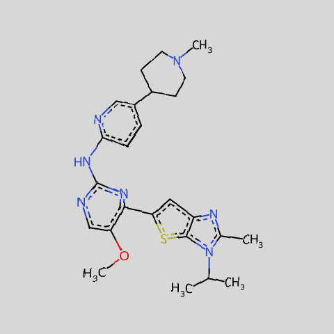 COc1cnc(Nc2ccc(C3CCN(C)CC3)cn2)nc1-c1cc2nc(C)n(C(C)C)c2s1